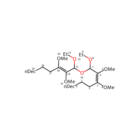 CCCCCCCCCCCCC(OC)=C(OC)C(OCC)OC(OCC)C(OC)=C(CCCCCCCCCCCC)OC